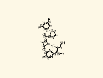 CN/C(=C(/F)C=N)c1ncc(F)c(OC2CN(C(=O)N3N=CC[C@H]3c3cc(F)cc(F)c3)C2)n1